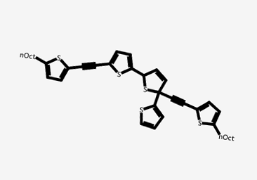 CCCCCCCCc1ccc(C#Cc2ccc(C3C=CC(C#Cc4ccc(CCCCCCCC)s4)(c4cccs4)S3)s2)s1